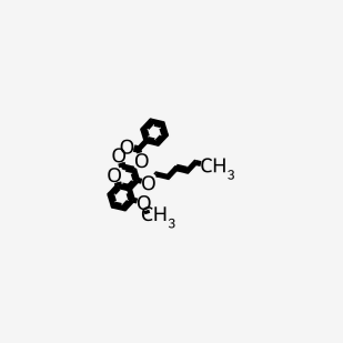 CCC=CCCOc1c(OC(=O)c2ccccc2)c(=O)oc2cccc(OC)c12